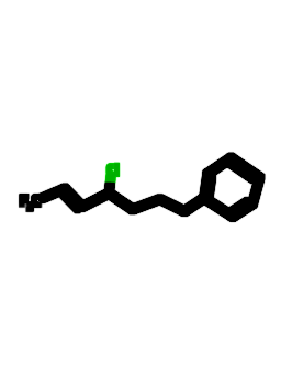 FC(F)(F)/C=C/C(Cl)CCCc1ccccc1